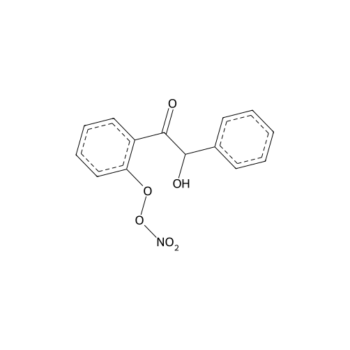 O=C(c1ccccc1OO[N+](=O)[O-])C(O)c1ccccc1